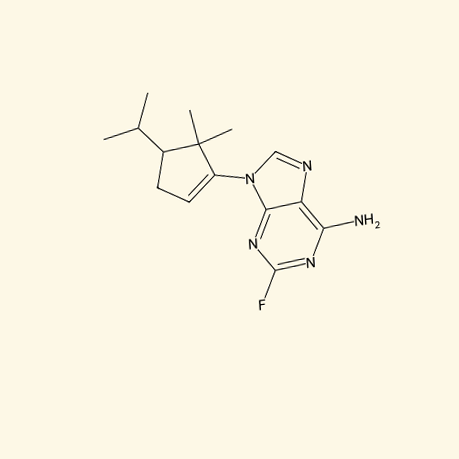 CC(C)C1CC=C(n2cnc3c(N)nc(F)nc32)C1(C)C